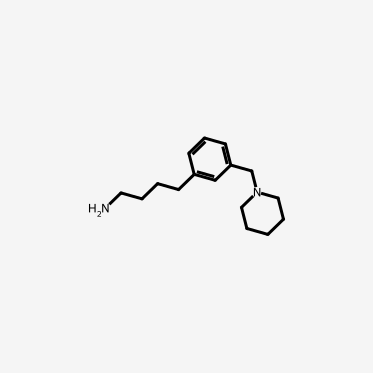 NCCCCc1cccc(CN2CCCCC2)c1